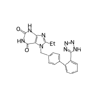 CCc1nc2[nH]c(=O)[nH]c(=O)c2n1Cc1ccc(-c2ccccc2-c2nnn[nH]2)cc1